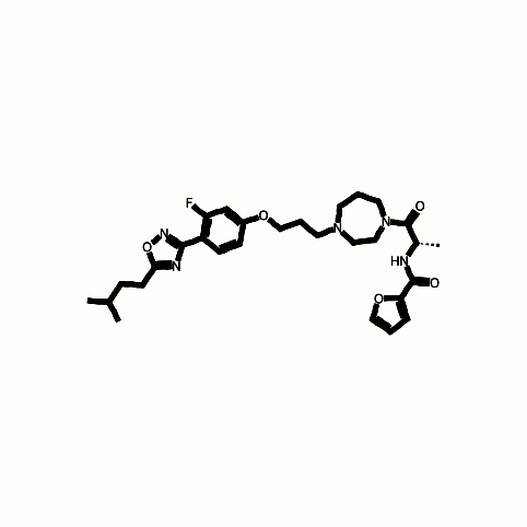 CC(C)CCc1nc(-c2ccc(OCCCN3CCCN(C(=O)[C@H](C)NC(=O)c4ccco4)CC3)cc2F)no1